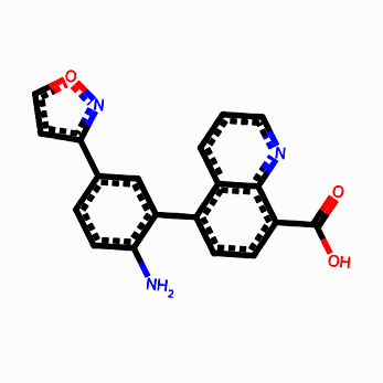 Nc1ccc(-c2ccon2)cc1-c1ccc(C(=O)O)c2ncccc12